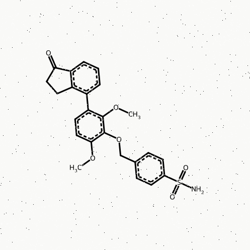 COc1ccc(-c2cccc3c2CCC3=O)c(OC)c1OCc1ccc(S(N)(=O)=O)cc1